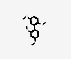 COc1[c]c(OC)c(-c2cc(OC)ccc2OC)cc1